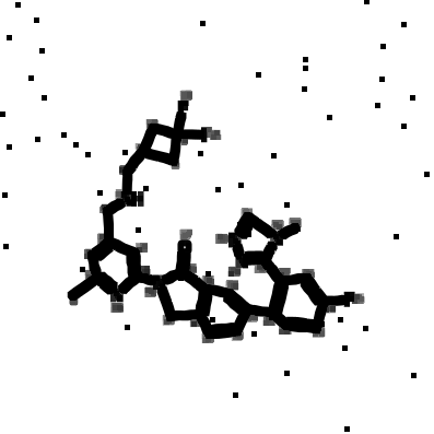 Cc1cc(CNCC2CC(F)(F)C2)cc(N2Cc3ccc(-c4ccc(F)cc4-c4nncn4C)cc3C2=O)n1